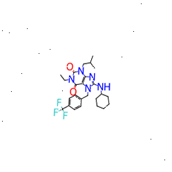 CCn1c(=O)c2c(nc(NC3CCCCC3)n2Cc2ccc(C(F)(F)F)cc2)n(CC(C)C)c1=O